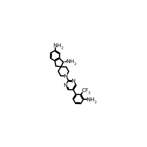 Nc1ccc2c(c1)[C@@H](N)C1(CCN(c3ncc(-c4cccc(N)c4C(F)(F)F)cn3)CC1)C2